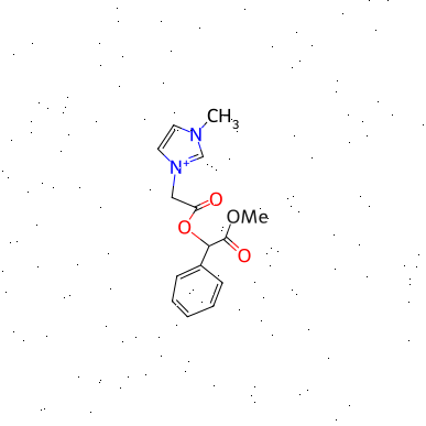 COC(=O)C(OC(=O)C[n+]1ccn(C)c1)c1ccccc1